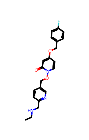 CCNCc1ccc(COn2ccc(OCc3ccc(F)cc3)cc2=O)cn1